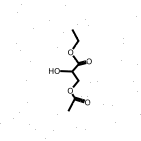 CCOC(=O)C(O)COC(C)=O